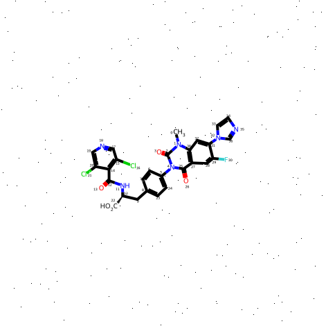 Cn1c(=O)n(-c2ccc(C[C@H](NC(=O)c3c(Cl)cncc3Cl)C(=O)O)cc2)c(=O)c2cc(F)c(-n3ccnc3)cc21